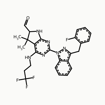 CC1(C)c2c(NCCC(F)(F)F)nc(-n3nc(Cc4ccccc4F)c4ccccc43)nc2NC1C=O